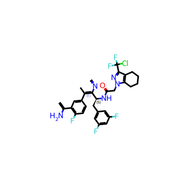 C=N/C(=C(\C)c1ccc(F)c(C(=C)N)c1)[C@H](Cc1cc(F)cc(F)c1)NC(=O)Cn1nc(C(F)(F)Cl)c2c1CCCC2